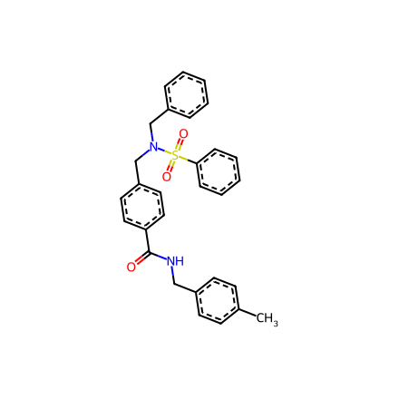 Cc1ccc(CNC(=O)c2ccc(CN(Cc3ccccc3)S(=O)(=O)c3ccccc3)cc2)cc1